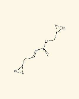 O=C(C=CCC1CO1)OCC1CO1